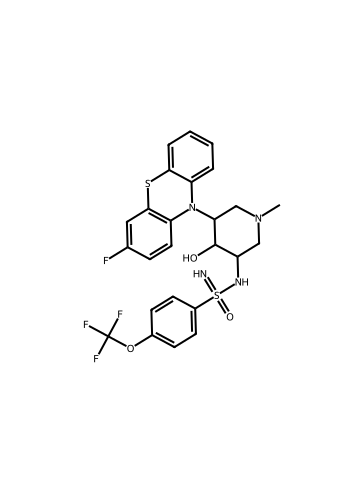 CN1CC(NS(=N)(=O)c2ccc(OC(F)(F)F)cc2)C(O)C(N2c3ccccc3Sc3cc(F)ccc32)C1